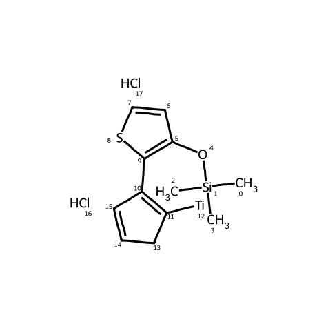 C[Si](C)(C)Oc1ccsc1C1=[C]([Ti])CC=C1.Cl.Cl